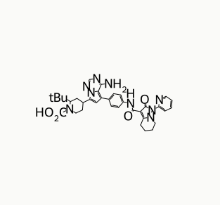 CC(C)(C)C1CC(c2cc(-c3ccc(NC(=O)c4c5n(n(-c6ccccn6)c4=O)CCCC5)cc3)c3c(N)ncnn23)CCN1C(=O)O